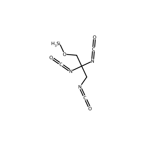 O=C=NCC(CO[SiH3])(N=C=O)N=C=O